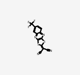 N#CC(C#N)=C1Sc2nc3ccc(C(F)(F)F)cc3nc2S1